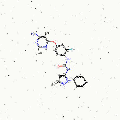 CSc1nc(N)c(C#N)c(Oc2ccc(NC(=O)Nc3cc(C(C)(C)C)nn3-c3ccccc3)c(F)c2)n1